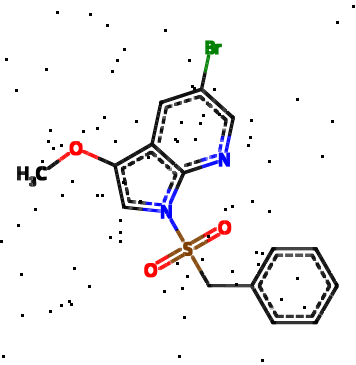 COc1cn(S(=O)(=O)Cc2ccccc2)c2ncc(Br)cc12